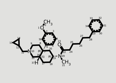 COc1cccc([C@@]23CCN(CC4CC4)C[C@H]2CC[C@@H](N(C)C(=O)CCCCCc2ccccc2)C3)c1